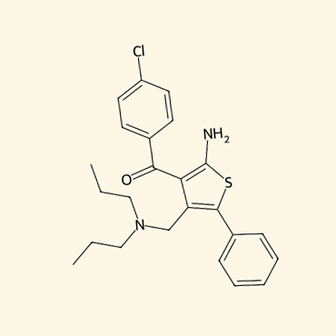 CCCN(CCC)Cc1c(-c2ccccc2)sc(N)c1C(=O)c1ccc(Cl)cc1